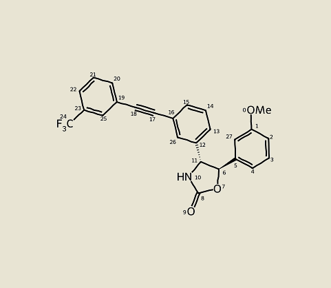 COc1cccc([C@H]2OC(=O)N[C@@H]2c2cccc(C#Cc3cccc(C(F)(F)F)c3)c2)c1